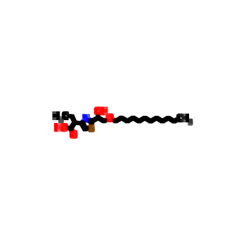 CCCCCCCCCCCCOCC(O)c1nc(C(CC)C(=O)O)cs1